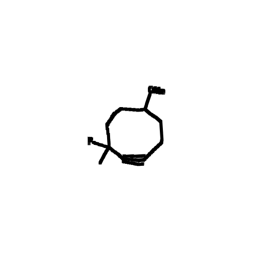 COC1CCC#CC(C)(F)CC1